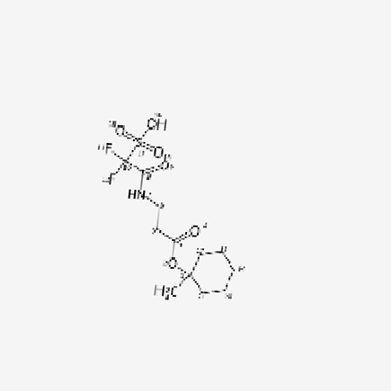 CC1(OC(=O)CCNC(=O)C(F)(F)S(=O)(=O)O)CCCCC1